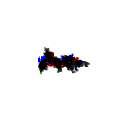 CCN(CC)CCOc1cc2ncnc(Oc3ccc(NC(=O)C4(C(O)Nc5ccc(F)cc5)CC4(C)C)cc3F)c2cc1OC